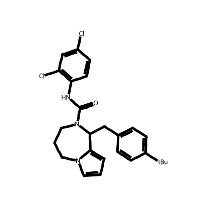 CC(C)(C)c1ccc(CC2c3cccn3CCCN2C(=O)Nc2ccc(Cl)cc2Cl)cc1